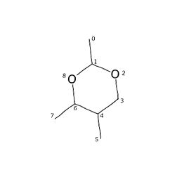 CC1OCC(C)C(C)O1